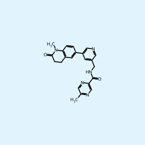 Cc1cnc(C(=O)NCc2cncc(-c3ccc4c(c3)CCC(=O)N4C)c2)cn1